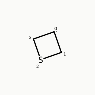 [CH]1CSC1